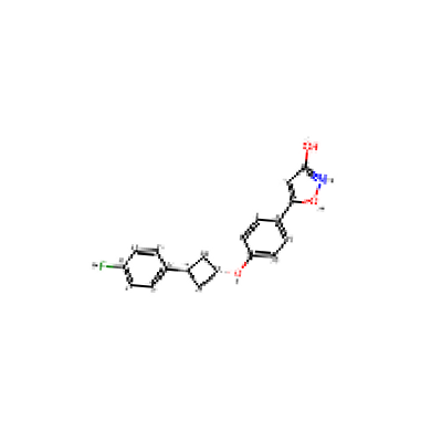 Oc1cc(-c2ccc(O[C@H]3C[C@H](c4ccc(F)cc4)C3)cc2)on1